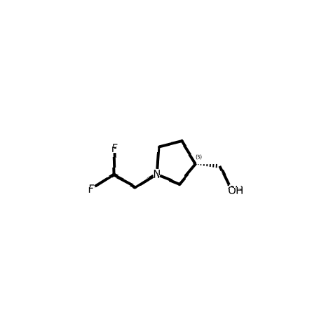 OC[C@H]1CCN(CC(F)F)C1